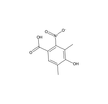 Cc1cc(C(=O)O)c([N+](=O)[O-])c(C)c1O